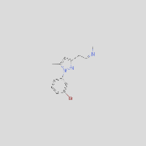 C/N=C\Cc1cc(C)n(-c2cccc(Br)c2)n1